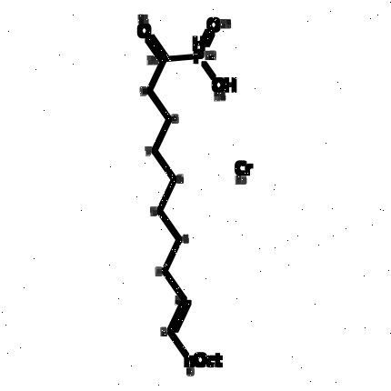 CCCCCCCCC=CCCCCCCCC(=O)[PH](=O)O.[Cr]